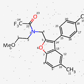 COCCN(Cc1oc2ccc(C)cc2c1-c1ccc(C)cc1)C(=O)C(F)(F)F